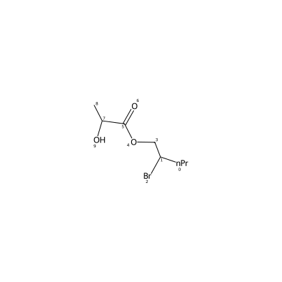 CCCC(Br)COC(=O)C(C)O